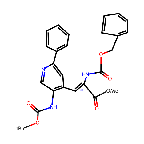 COC(=O)/C(=C/c1cc(-c2ccccc2)ncc1NC(=O)OC(C)(C)C)NC(=O)OCc1ccccc1